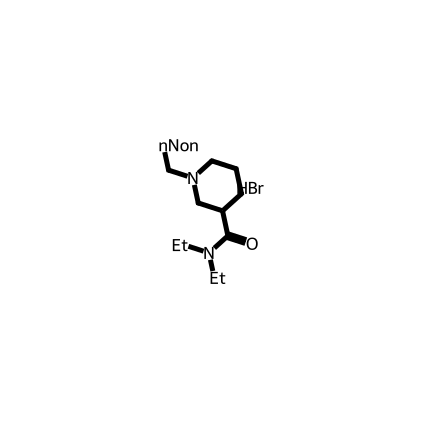 Br.CCCCCCCCCCN1CCCC(C(=O)N(CC)CC)C1